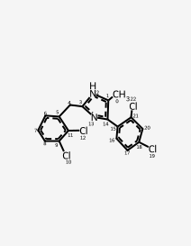 Cc1[nH]c(Cc2cccc(Cl)c2Cl)nc1-c1ccc(Cl)cc1Cl